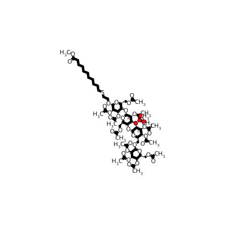 COC(=O)CCCCCCCCCCSCCO[C@@H]1O[C@H](COC(C)=O)[C@@H](O[C@H]2O[C@H](COC(C)=O)[C@@H](O[C@H]3O[C@H](CO[C@H]4O[C@H](COC(C)=O)[C@@H](OC(C)=O)[C@H](OC(C)=O)[C@H]4OC(C)=O)[C@@H](OC(C)=O)[C@H](OC(C)=O)[C@H]3OC(C)=O)[C@H](OC(C)=O)[C@H]2OC(C)=O)[C@H](OC(C)=O)[C@H]1OC(C)=O